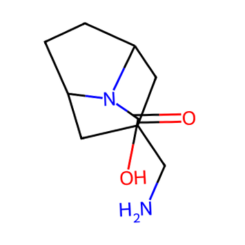 NCC1CC2CCC(C1)N2C(=O)O